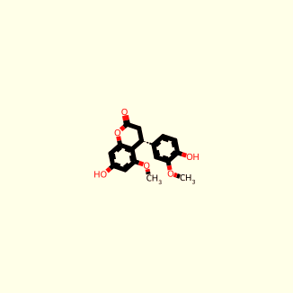 COc1cc([C@H]2CC(=O)Oc3cc(O)cc(OC)c32)ccc1O